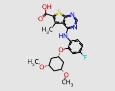 CO[C@@H]1C[C@H](OC)C[C@H](Oc2cc(F)ccc2Nc2ncnc3sc(C(=O)O)c(C)c23)C1